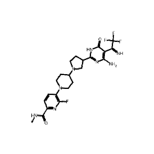 CNC(=O)c1ccc(N2CCC(N3CCC(c4nc(N)c(C(=N)C(F)(F)F)c(=O)[nH]4)C3)CC2)c(F)n1